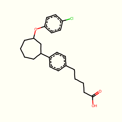 O=C(O)CCCCc1ccc(C2CCCCC(Oc3ccc(Cl)cc3)C2)cc1